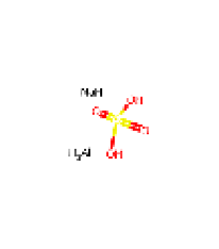 O=S(=O)(O)O.[AlH3].[NaH]